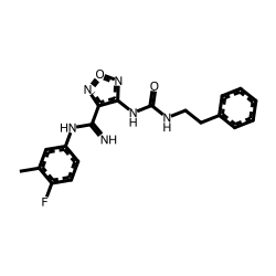 Cc1cc(NC(=N)c2nonc2NC(=O)NCCc2ccccc2)ccc1F